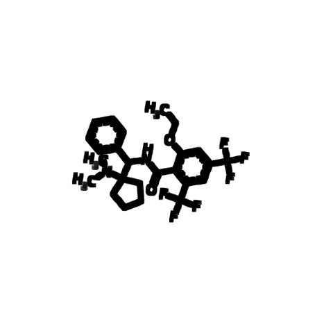 CCOc1cc(C(F)(F)F)cc(C(F)(F)F)c1C(=O)NC(c1ccccc1)C1(N(C)C)CCCC1